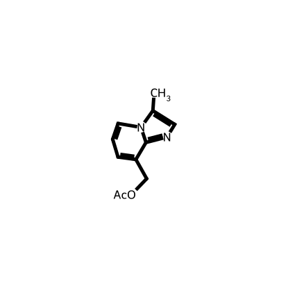 CC(=O)OCc1cccn2c(C)cnc12